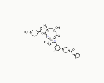 C/C(=C\c1cc(F)cc(N2CCN(C(=O)Cn3cccn3)CC2)c1)[C@H]1OC(=O)C[C@H](O)CC[C@H](C)[C@@H](OC(=O)N2CCCN(C)CC2)/C=C/[C@@H]1C